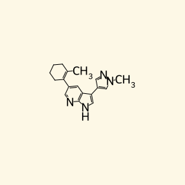 CC1=C(c2cnc3[nH]cc(-c4cnn(C)c4)c3c2)CCCC1